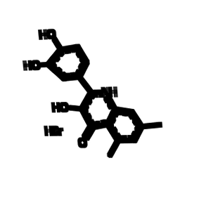 Br.Cc1cc(C)c2c(=O)c(O)c(-c3ccc(O)c(O)c3)[nH]c2c1